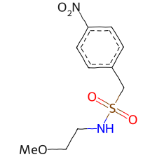 COCCNS(=O)(=O)Cc1ccc([N+](=O)[O-])cc1